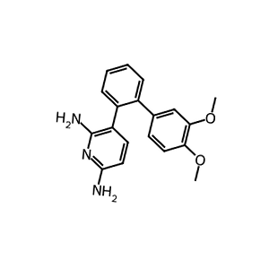 COc1ccc(-c2ccccc2-c2ccc(N)nc2N)cc1OC